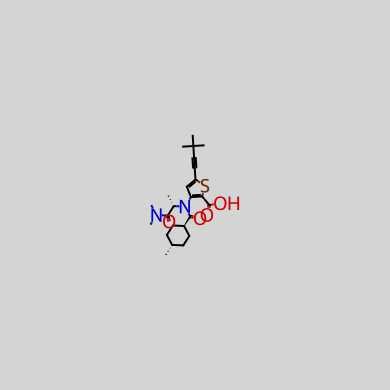 C[C@@H](C(=O)N(C)C)N(c1cc(C#CC(C)(C)C)sc1C(=O)O)C(=O)[C@H]1CC[C@H](C)CC1